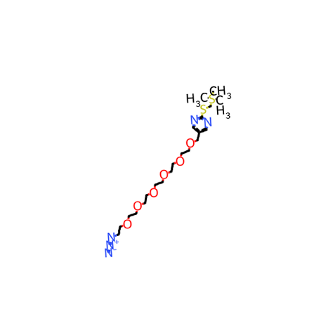 CS(C)(C)CSc1ncc(COCCOCCOCCOCCOCCOCCN=[N+]=[N-])cn1